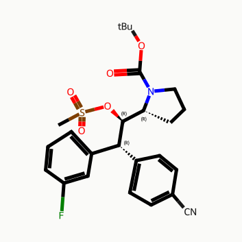 CC(C)(C)OC(=O)N1CCC[C@@H]1[C@H](OS(C)(=O)=O)[C@H](c1ccc(C#N)cc1)c1cccc(F)c1